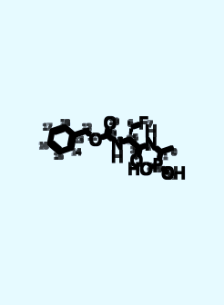 CC(NC(=O)[C@@H](CF)NC(=O)OCc1ccccc1)P(O)O